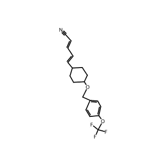 N#CC=CC=CC1CCC(OCc2ccc(OC(F)(F)F)cc2)CC1